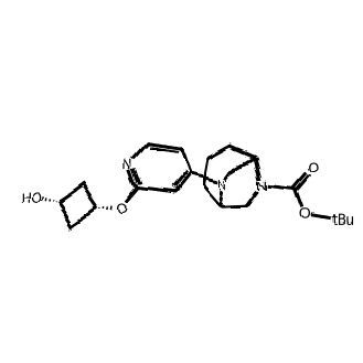 CC(C)(C)OC(=O)N1CC2CCCC1CN2c1ccnc(O[C@H]2C[C@@H](O)C2)c1